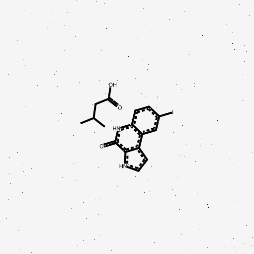 CC(C)CC(=O)O.O=c1[nH]c2ccc(I)cc2c2cc[nH]c12